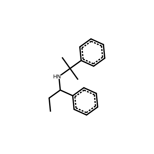 CCC(NC(C)(C)c1ccccc1)c1ccccc1